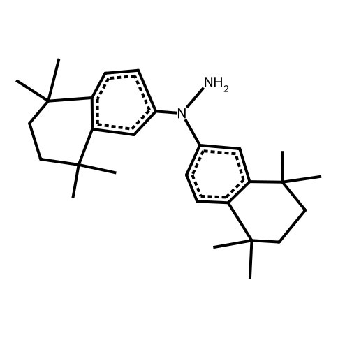 CC1(C)CCC(C)(C)c2cc(N(N)c3ccc4c(c3)C(C)(C)CCC4(C)C)ccc21